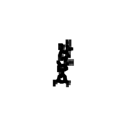 CNc1nc(Nc2cn(C3=CC(F)CC(F)=C3)nc2C)ncc1Br